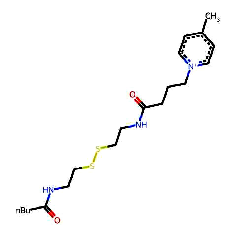 CCCCC(=O)NCCSSCCNC(=O)CCC[n+]1ccc(C)cc1